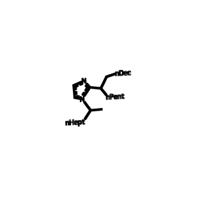 CCCCCCCCCCCC(CCCCC)c1nccn1C(C)CCCCCCC